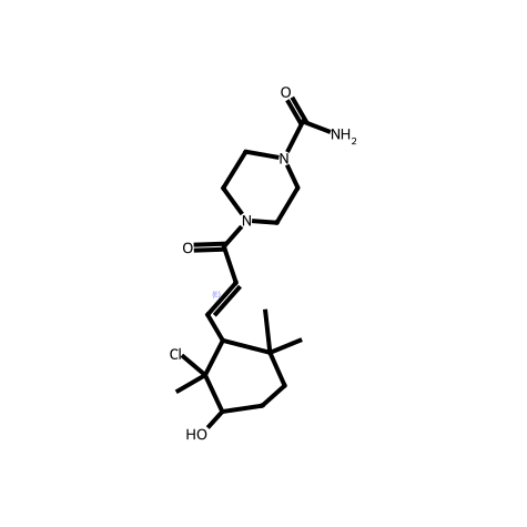 CC1(C)CCC(O)C(C)(Cl)C1/C=C/C(=O)N1CCN(C(N)=O)CC1